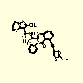 Cc1nc(C#Cc2cccc3nc([C@H](C)NC(=O)c4c(C)nn5cccnc45)n(-c4ccccc4)c(=O)c23)cs1